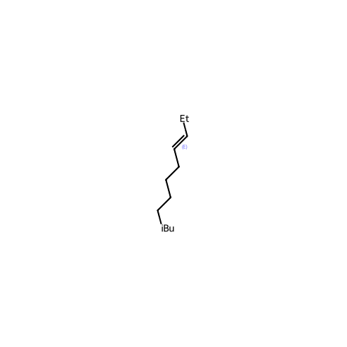 CC/C=C/CCCCC(C)CC